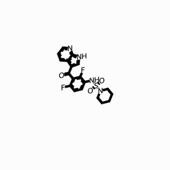 O=C(c1c(F)ccc(NS(=O)(=O)N2CCCCC2)c1F)c1c[nH]c2ncccc12